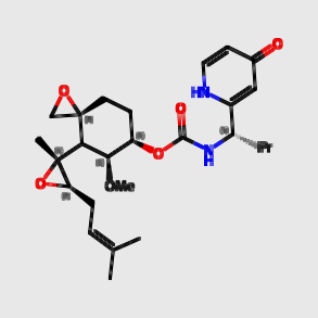 CO[C@H]1C([C@@]2(C)O[C@@H]2CC=C(C)C)[C@]2(CC[C@H]1OC(=O)N[C@H](c1cc(=O)cc[nH]1)C(C)C)CO2